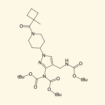 CC(C)(C)OC(=O)NCc1cn(C2CCN(C(=O)C3(C)CCC3)CC2)nc1N(C(=O)OC(C)(C)C)C(=O)OC(C)(C)C